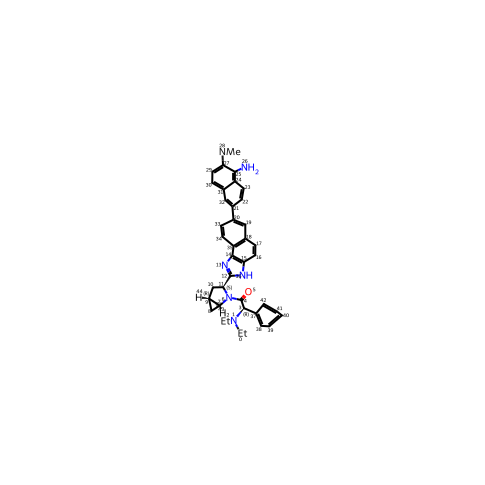 CCN(CC)[C@@H](C(=O)N1[C@@H]2C[C@@H]2C[C@H]1c1nc2c(ccc3cc(-c4ccc5c(N)c(NC)ccc5c4)ccc32)[nH]1)c1ccccc1